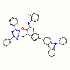 Cc1ccccc1/N=C1\Cc2cc(-c3ccc4c(c3)c3ccccc3n4-c3ccccc3)ccc2C(Cc2nc(-c3ccccc3)nc(-c3ccccc3)n2)C1=O